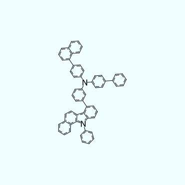 c1ccc(-c2ccc(N(c3ccc(-c4cccc5ccccc45)cc3)c3cccc(-c4cccc5c4c4ccc6ccccc6c4n5-c4ccccc4)c3)cc2)cc1